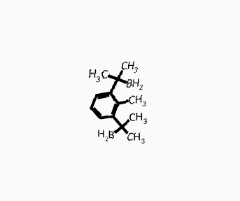 BC(C)(C)c1cccc(C(B)(C)C)c1C